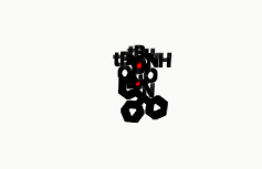 CC(C)(C)NC(=O)OC(=NC(c1ccccc1)(c1ccccc1)c1ccccc1)NC(=O)OC(C)(C)C